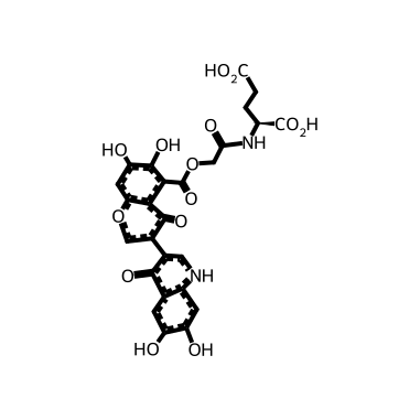 O=C(O)CC[C@H](NC(=O)COC(=O)c1c(O)c(O)cc2occ(-c3c[nH]c4cc(O)c(O)cc4c3=O)c(=O)c12)C(=O)O